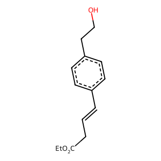 CCOC(=O)C/C=C/c1ccc(CCO)cc1